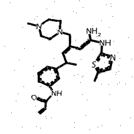 C=CC(=O)Nc1cccc(C(C)/C=C(\C=C(/N)Nc2ncc(C)s2)CN2CCN(C)CC2)c1